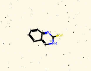 SC1N=c2ccccc2=CN1